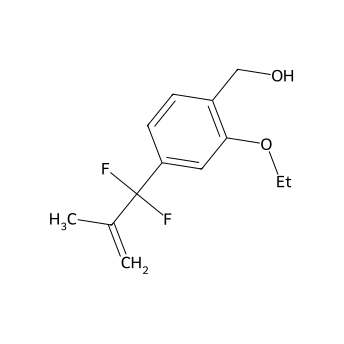 C=C(C)C(F)(F)c1ccc(CO)c(OCC)c1